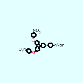 CCCCCCCCC[C@H]1CC[C@H](C2CCC(c3ccc(Oc4ccc([N+](=O)[O-])cc4)cc3)(c3ccc(Oc4ccc([N+](=O)[O-])cc4)cc3)CC2)CC1